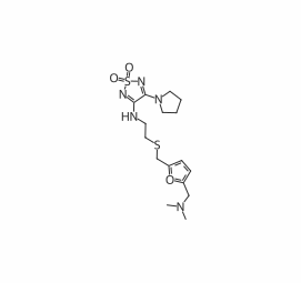 CN(C)Cc1ccc(CSCCNC2=NS(=O)(=O)N=C2N2CCCC2)o1